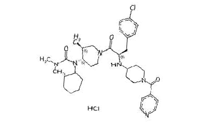 C[C@H]1CN(C(=O)[C@@H](Cc2ccc(Cl)cc2)NC2CCN(C(=O)c3ccncc3)CC2)CC[C@@H]1N(C(=O)N(C)C)C1CCCCC1.Cl